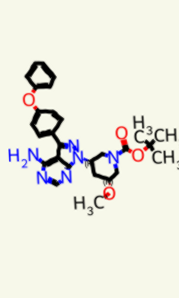 CO[C@@H]1C[C@@H](n2nc(-c3ccc(Oc4ccccc4)cc3)c3c(N)ncnc32)CN(C(=O)OC(C)(C)C)C1